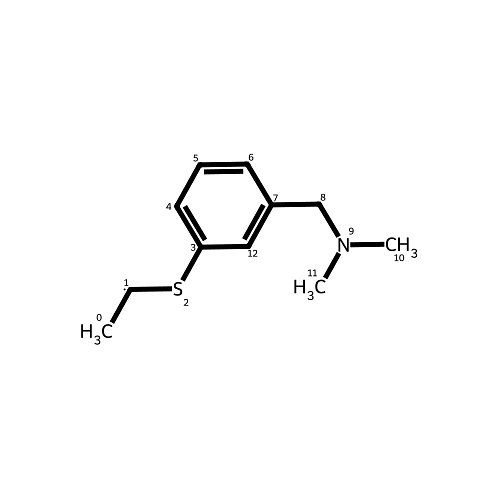 C[CH]Sc1cccc(CN(C)C)c1